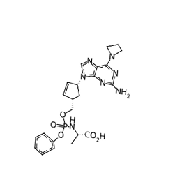 C[C@H](N[P@@](=O)(OC[C@@H]1C=C[C@H](n2cnc3c(N4CCC4)nc(N)nc32)C1)Oc1ccccc1)C(=O)O